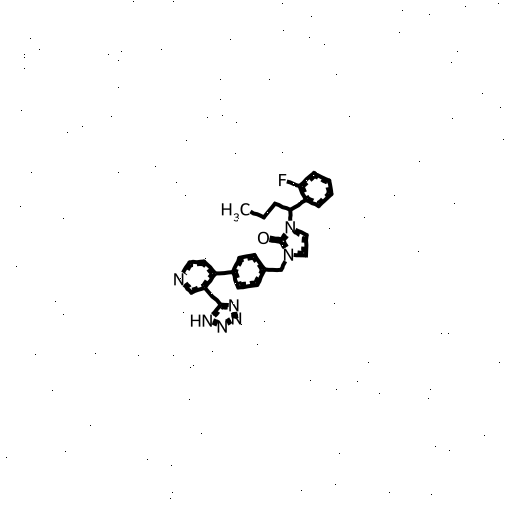 CCCC(c1ccccc1F)n1ccn(Cc2ccc(-c3ccncc3-c3nnn[nH]3)cc2)c1=O